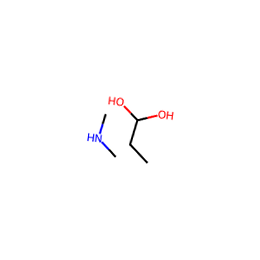 CCC(O)O.CNC